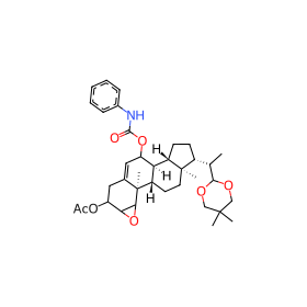 CC(=O)OC1CC2=CC(OC(=O)Nc3ccccc3)[C@H]3[C@@H]4CC[C@H](C(C)C5OCC(C)(C)CO5)[C@@]4(C)CC[C@@H]3[C@@]2(C)C2OC12